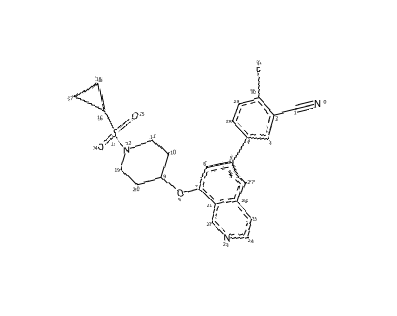 N#Cc1cc(-c2cc(OC3CCN(S(=O)(=O)C4CC4)CC3)c3cnccc3c2)ccc1F